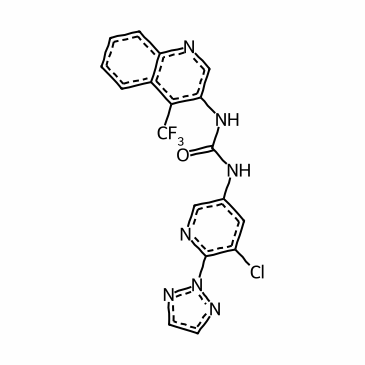 O=C(Nc1cnc(-n2nccn2)c(Cl)c1)Nc1cnc2ccccc2c1C(F)(F)F